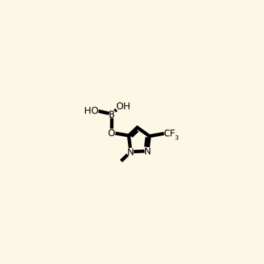 Cn1nc(C(F)(F)F)cc1OB(O)O